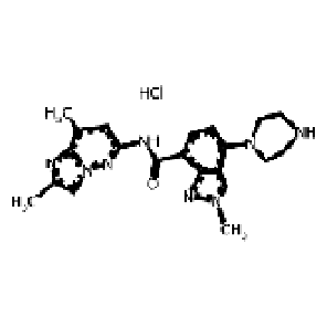 Cc1cn2nc(NC(=O)c3ccc(N4CCNCC4)c4cn(C)nc34)cc(C)c2n1.Cl